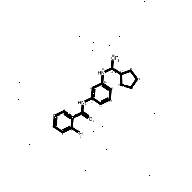 CCc1ccccc1C(=O)Nc1cccc(NC(C2CCCC2)C(F)(F)F)c1